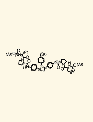 COC(=O)N[C@@H](CC(C)C)C(=O)N1CCC[C@H]1C(=O)Nc1ccc([C@@H]2CC[C@@H](c3ccc(NC(=O)[C@@H]4CCCN4C(=O)[C@@H](NC(=O)OC)C(C)C)cc3)N2c2ccc(C(C)(C)C)cc2)cc1